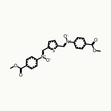 COC(=O)c1ccc(/[N+]([O-])=C/c2ccc(/C=[N+](\[O-])c3ccc(C(=O)OC)cc3)s2)cc1